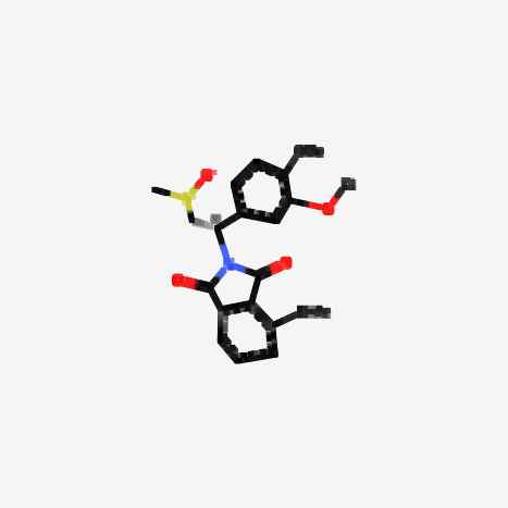 CCOc1cc([C@@H](C[S+](C)[O-])N2C(=O)c3cccc(NC(C)=O)c3C2=O)ccc1OC